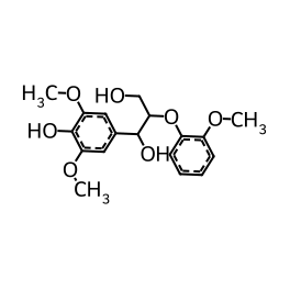 COc1ccccc1OC(CO)C(O)c1cc(OC)c(O)c(OC)c1